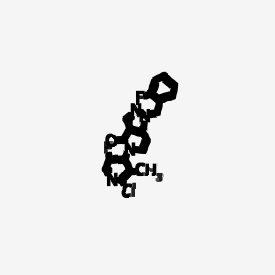 Cc1c(Cl)ncc(F)c1-n1ccc2c(cnn2Cc2ccccc2F)c1=O